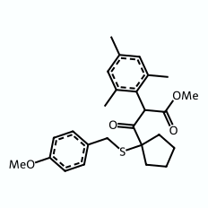 COC(=O)C(C(=O)C1(SCc2ccc(OC)cc2)CCCC1)c1c(C)cc(C)cc1C